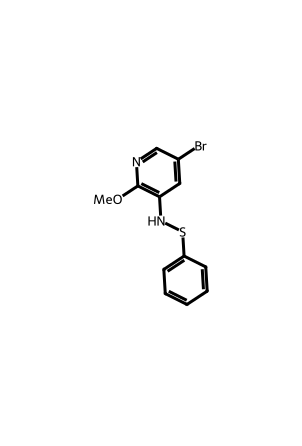 COc1ncc(Br)cc1NSc1ccccc1